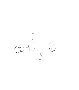 COC(=O)/C=C/CC[C@H](NC(=O)c1oc2ccccc2c1C)C(=O)Nc1cccn(CC(=O)NC23CC4CC(C2)CC(C(F)(F)F)(C4)C3)c1=O